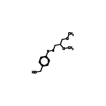 COCC(CSSc1ccc(CO)cc1)OC